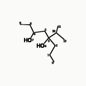 CCCC(O)(CC(O)CC)C(C)C